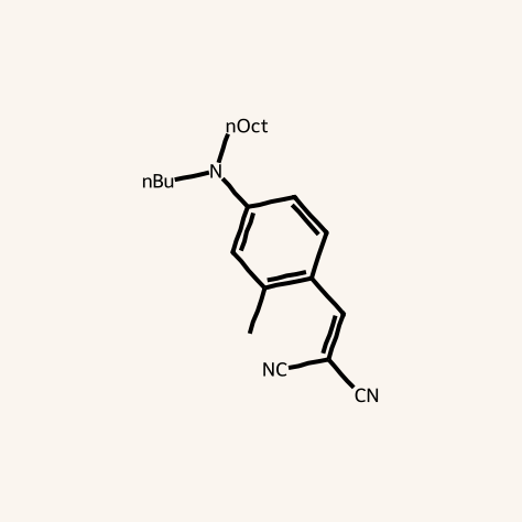 CCCCCCCCN(CCCC)c1ccc(C=C(C#N)C#N)c(C)c1